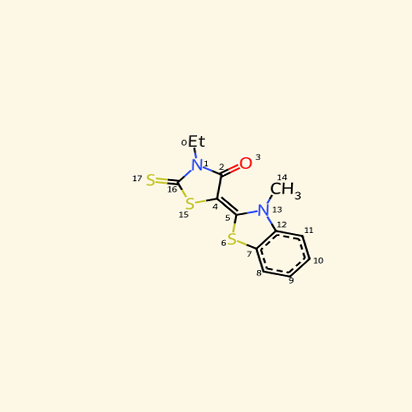 CCN1C(=O)/C(=C2/Sc3ccccc3N2C)SC1=S